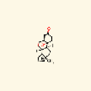 C[C@@]12C=CC[C@H]1[C@@H]1CCC3=CC(=O)CCC3(O)[C@H]1CC2